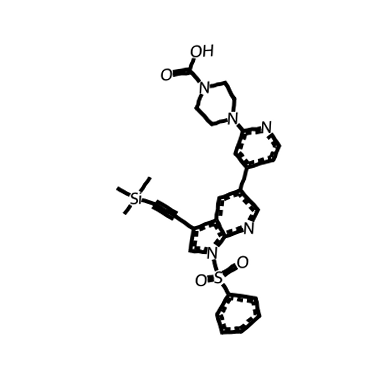 C[Si](C)(C)C#Cc1cn(S(=O)(=O)c2ccccc2)c2ncc(-c3ccnc(N4CCN(C(=O)O)CC4)c3)cc12